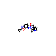 C[C@H]1[C@H](NC(=O)c2ccc3nc(C4CC4)oc3c2)C2CCN1CC2